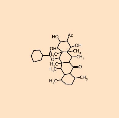 CC(=O)C1C(O)CC2(C)C(OC(O)C3CCCCC3)C3(C)C(C)C4C(C)CCC(C)C4C(=O)C3C(C)C2(C)C1O